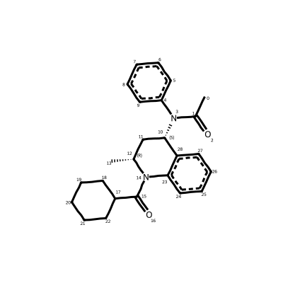 CC(=O)N(c1ccccc1)[C@H]1C[C@@H](C)N(C(=O)C2CCCCC2)c2ccccc21